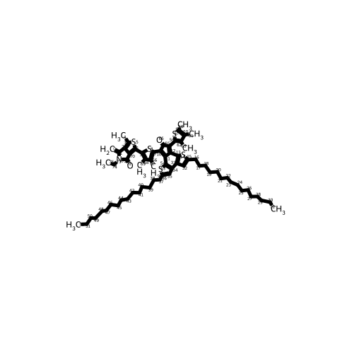 C=C1c2c(C)sc(-c3sc(C4=c5c(c6sc(CCCCCCCCCCCCCCCC)cc6c6cc(CCCCCCCCCCCCCCCC)sc56)=C(c5sc(C)c(C)c5C)C4=O)c(C)c3C)c2C(=O)N1CC